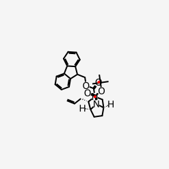 C=CC[C@H]1[C@@H]2CC[C@H](CN1C(=O)OCC1c3ccccc3-c3ccccc31)N2C(=O)OC(C)(C)C